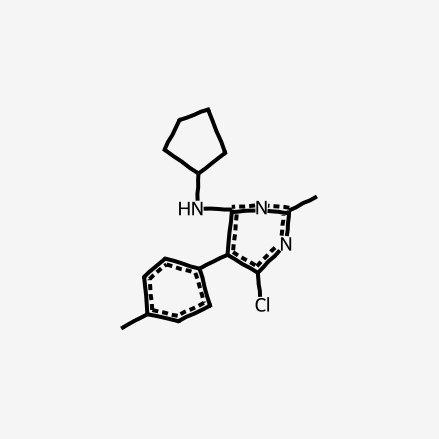 Cc1ccc(-c2c(Cl)nc(C)nc2NC2CCCC2)cc1